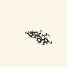 CCN1C(=O)N(Cc2cc3nc(F)ccc3n2S(=O)(=O)c2ccccc2)CC1Cc1ccc(Cl)cc1Cl